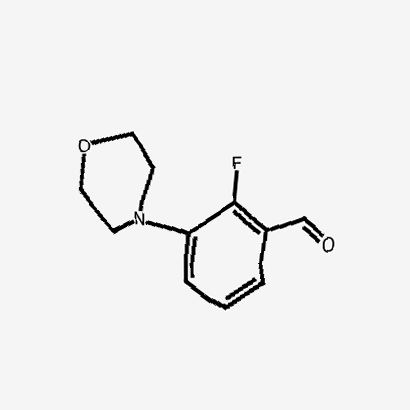 O=Cc1cccc(N2CCOCC2)c1F